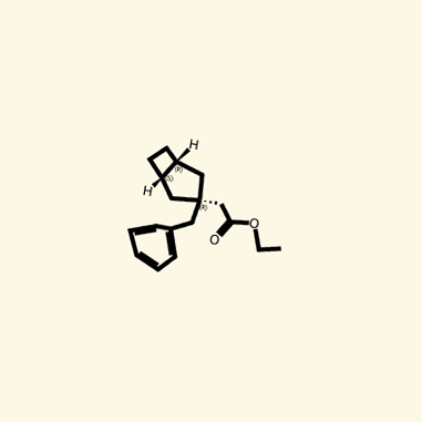 CCOC(=O)C[C@@]1(Cc2ccccc2)C[C@H]2CC[C@H]2C1